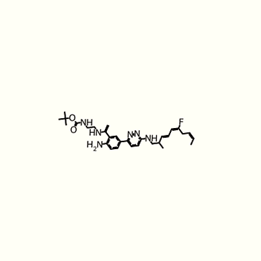 C=C(NCCNC(=O)OC(C)(C)C)c1cc(-c2ccc(NCC(C)/C=C/C=C(/F)C/C=C\C)nn2)ccc1N